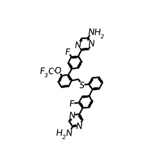 Nc1cnc(-c2ccc(-c3ccccc3SCc3cccc(OC(F)(F)F)c3-c3ccc(-c4cnc(N)cn4)c(F)c3)cc2F)cn1